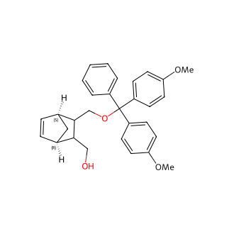 COc1ccc(C(OCC2C(CO)[C@H]3C=C[C@@H]2C3)(c2ccccc2)c2ccc(OC)cc2)cc1